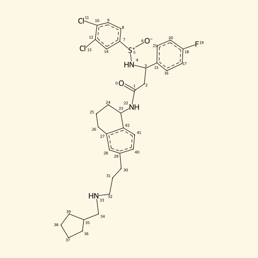 O=C(CC(N[S+]([O-])c1ccc(Cl)c(Cl)c1)c1ccc(F)cc1)NC1CCCc2cc(CCCNCC3CCCC3)ccc21